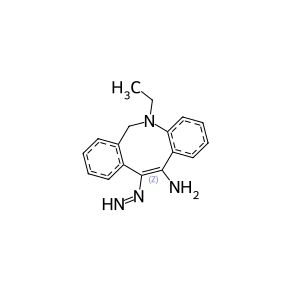 CCN1Cc2ccccc2/C(N=N)=C(/N)c2ccccc21